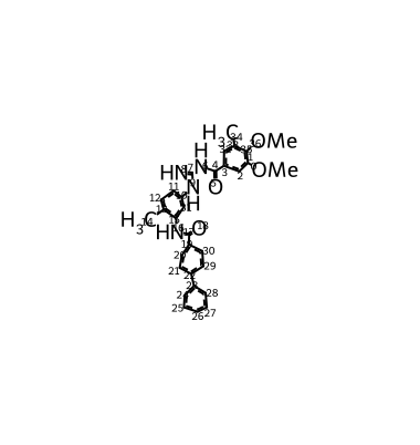 COc1cc(C(=O)NC(=N)Nc2ccc(C)c(NC(=O)c3ccc(-c4ccccc4)cc3)c2)cc(C)c1OC